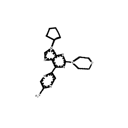 Nc1cnc(-c2nc(N3CCOCC3)nc3c2ncn3C2CCCC2)cn1